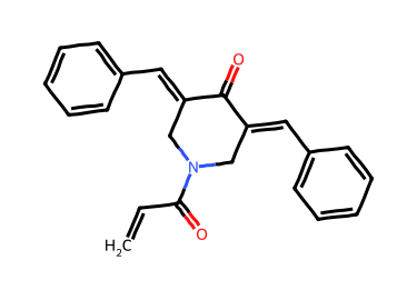 C=CC(=O)N1C/C(=C\c2ccccc2)C(=O)/C(=C/c2ccccc2)C1